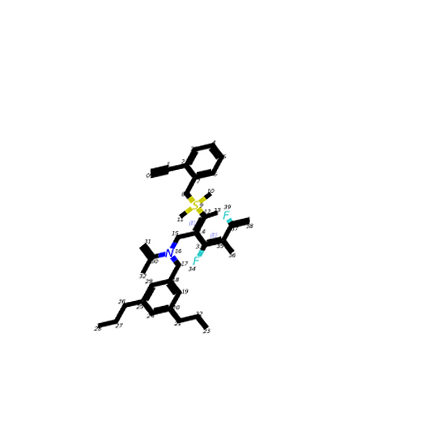 C#Cc1ccccc1CS(C)(C)/C(C)=C(CN(Cc1cc(CCC)cc(CCC)c1)C(=C)C)/C(F)=C(/C)C(=C)F